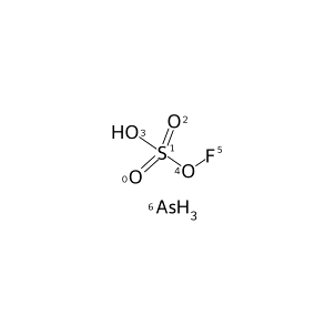 O=S(=O)(O)OF.[AsH3]